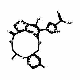 COC(=O)c1cc(-c2c3nc4c(cnn4c2N)C(=O)NCC(C)Oc2ncc(F)cc2CN3)c[nH]1